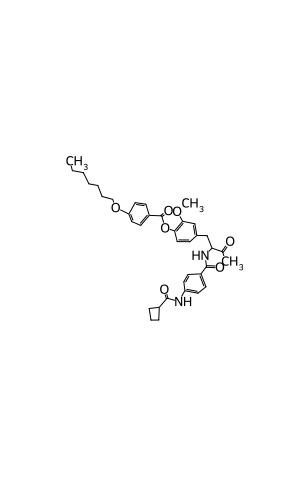 CCCCCCCOc1ccc(C(=O)Oc2ccc(CC(NC(=O)c3ccc(NC(=O)C4CCC4)cc3)C(C)=O)cc2OC)cc1